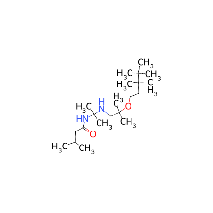 CC(C)CC(=O)NC(C)(C)NCC(C)(C)OCCC(C)(C)C(C)(C)C